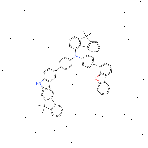 CC1(C)c2ccccc2-c2cc3c(cc21)[nH]c1ccc(-c2ccc(N(c4ccc(-c5cccc6c5oc5ccccc56)cc4)c4cccc5c4-c4ccccc4C5(C)C)cc2)cc13